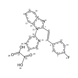 Fc1ccc(C=Cc2nc3ccccc3n2-c2ccccn2)cc1.O=C(O)C(=O)O